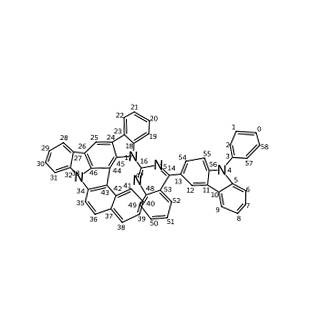 c1ccc(-n2c3ccccc3c3cc(-c4nc(-n5c6ccccc6c6cc7c8ccccc8n8c9ccc%10ccccc%10c9c(c65)c78)nc5ccccc45)ccc32)cc1